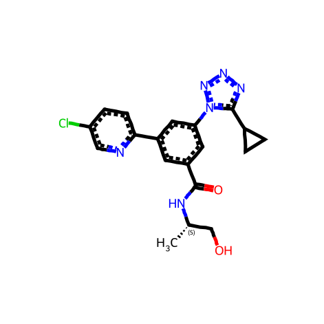 C[C@@H](CO)NC(=O)c1cc(-c2ccc(Cl)cn2)cc(-n2nnnc2C2CC2)c1